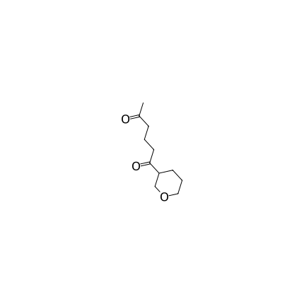 CC(=O)CCCC(=O)C1CCCOC1